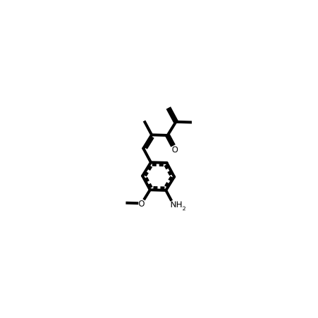 C=C(C)C(=O)C(C)=Cc1ccc(N)c(OC)c1